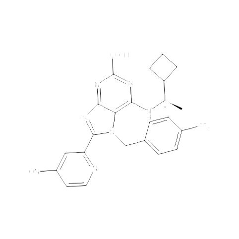 C[C@@H](Nc1nc(C(=O)O)nc2nc(-c3cc(N=O)ccn3)n(Cc3ccc(C(F)(F)F)cc3)c12)C1CCC1